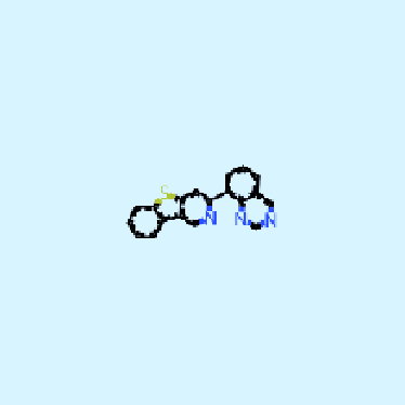 c1cc(-c2cc3sc4ccccc4c3cn2)c2ncncc2c1